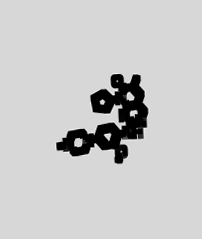 COc1cc(N2CCN(C)CC2)ccc1Nc1ncc2cc(C)c(=O)n(C3CCCC3)c2n1